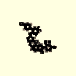 CC1(C)CCC(CN2CCN(Cc3ccc4c(c3)CN(C3CCC(=O)NC3=O)C4=O)C(C(F)(F)F)C2)=C(c2ccc(Cl)cc2)C1